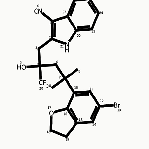 [C-]#[N+]c1c(CC(O)(CC(C)(C)c2cc(Br)cc3c2OCC3)C(F)(F)F)[nH]c2ccccc12